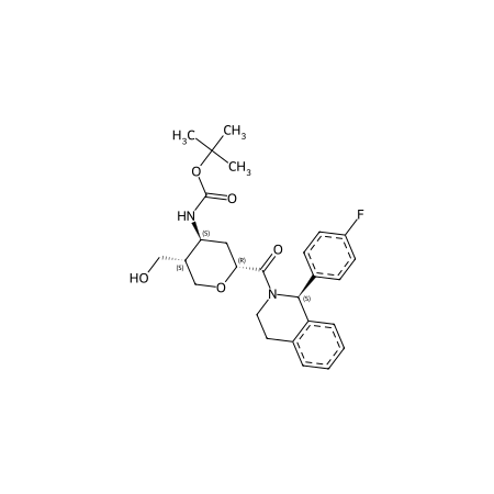 CC(C)(C)OC(=O)N[C@H]1C[C@H](C(=O)N2CCc3ccccc3[C@@H]2c2ccc(F)cc2)OC[C@@H]1CO